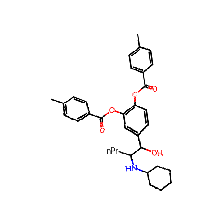 CCCC(NC1CCCCC1)C(O)c1ccc(OC(=O)c2ccc(C)cc2)c(OC(=O)c2ccc(C)cc2)c1